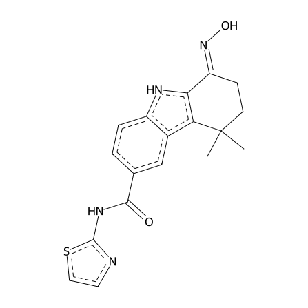 CC1(C)CCC(=NO)c2[nH]c3ccc(C(=O)Nc4nccs4)cc3c21